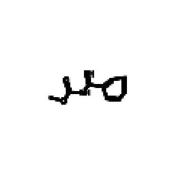 COC(=O)NC(=N)c1ccccc1